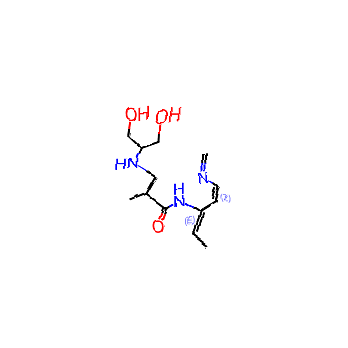 C=N/C=C\C(=C/C)NC(=O)C(C)CNC(CO)CO